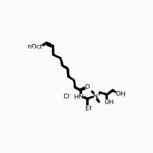 CCCCCCCC/C=C\CCCCCCCC(=O)NC(CC)[N+](C)(C)CC(O)CO.[Cl-]